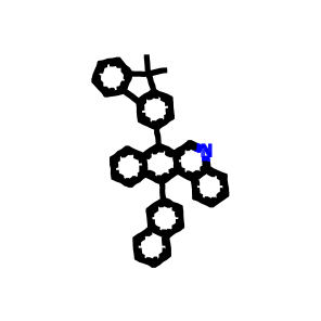 CC1(C)c2ccccc2-c2cc(-c3c4ccccc4c(-c4ccc5ccccc5c4)c4c3cnc3ccccc34)ccc21